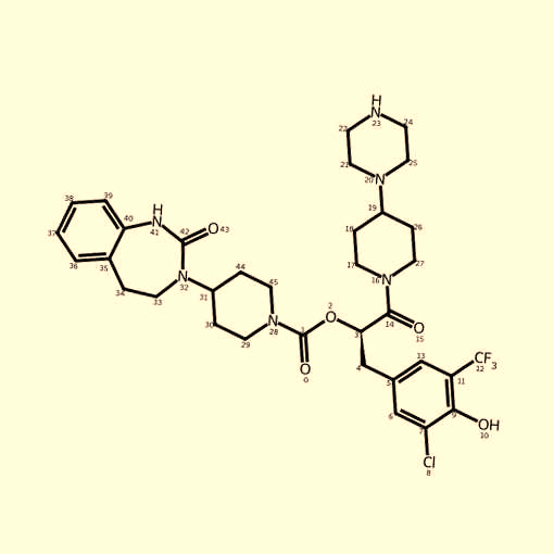 O=C(O[C@H](Cc1cc(Cl)c(O)c(C(F)(F)F)c1)C(=O)N1CCC(N2CCNCC2)CC1)N1CCC(N2CCc3ccccc3NC2=O)CC1